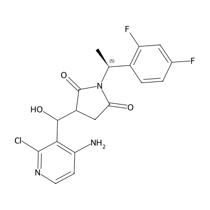 C[C@@H](c1ccc(F)cc1F)N1C(=O)CC(C(O)c2c(N)ccnc2Cl)C1=O